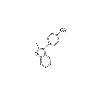 Cc1oc2ccccc2c1-c1ccc(O)cc1